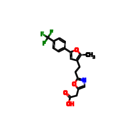 Cc1oc(-c2ccc(C(F)(F)F)cc2)cc1CCc1ncc(CC(=O)O)o1